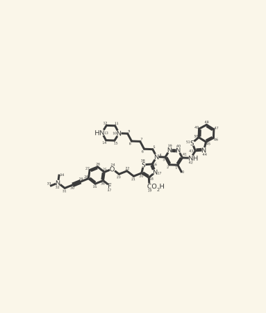 Cc1cc(N(CCCCCN2CCNCC2)c2nc(C(=O)O)c(CCCOc3ccc(C#CCN(C)C)cc3F)s2)nnc1Nc1nc2ccccc2s1